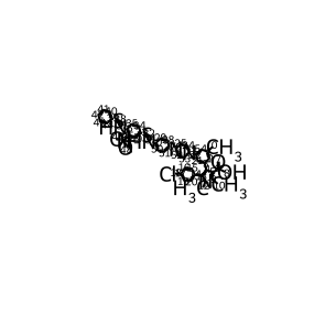 Cc1cc(-c2c(C(=O)O)c(C)n(C)c2-c2ccc(Cl)cc2)cc(N2CCN(c3ccc(NSc4ccc(NSc5ccccc5)c([N+](=O)[O-])c4)cc3)CC2)c1